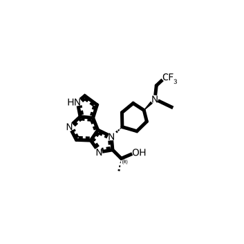 C[C@@H](O)c1nc2cnc3[nH]ccc3c2n1[C@H]1CC[C@H](N(C)CC(F)(F)F)CC1